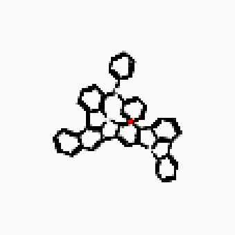 c1ccc(N(c2ccccc2)c2cccc3c4c5ccccc5cc5c6cc7c(cc6n(c23)c54)c2cccc3c4ccccc4n7c32)cc1